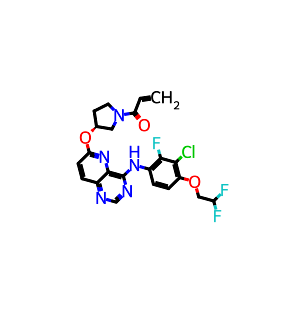 C=CC(=O)N1CC[C@H](Oc2ccc3ncnc(Nc4ccc(OCC(F)F)c(Cl)c4F)c3n2)C1